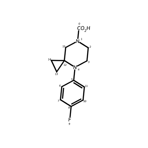 O=C(O)N1CCN(c2ccc(F)cc2)C2(CC2)C1